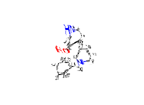 OC1CNCCC1C1=CN(Cc2ccccc2)CC=C1